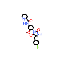 COc1cc(NC(=O)c2ccccn2)ccc1N1C(=O)N[C@@](C)(Cc2ccc(F)cc2)C1=O